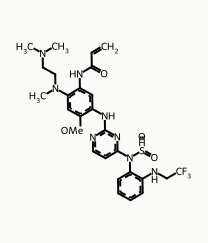 C=CC(=O)Nc1cc(Nc2nccc(N(c3ccccc3NCC(F)(F)F)[SH](=O)=O)n2)c(OC)cc1N(C)CCN(C)C